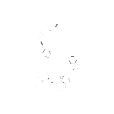 C#CCCCN(C)CC#Cc1ccc(OCCCc2sc(N3CCCc4c3nnc(Nc3nc5ccccc5s3)c4C)nc2C(=O)O)c(F)c1